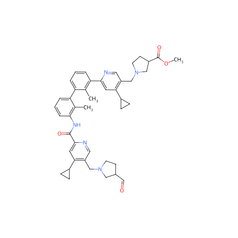 COC(=O)C1CCN(Cc2cnc(-c3cccc(-c4cccc(NC(=O)c5cc(C6CC6)c(CN6CCC(C=O)C6)cn5)c4C)c3C)cc2C2CC2)C1